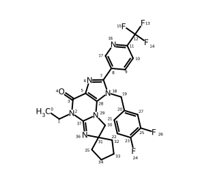 CCN1C(=O)c2nc(-c3ccc(C(F)(F)F)nc3)n(Cc3ccc(F)c(F)c3)c2N2CC3(CCCC3)N=C12